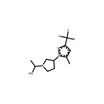 Cc1cc(C(F)(F)F)nn1C1CCN(C(C)O)C1